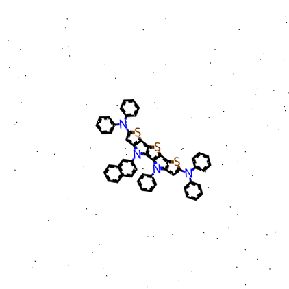 c1ccc(N(c2ccccc2)c2cc3c(s2)c2sc4c5sc(N(c6ccccc6)c6ccccc6)cc5n(-c5ccc6ccccc6c5)c4c2n3-c2ccccc2)cc1